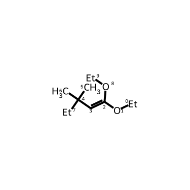 CCOC(=CC(C)(C)CC)OCC